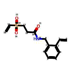 C=Cc1ccccc1CNC(=O)CCS(=O)(=O)C=C